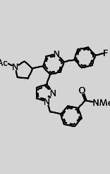 CNC(=O)c1cccc(Cn2ccc(-c3cc(-c4ccc(F)cc4)ncc3C3CCN(C(C)=O)C3)n2)c1